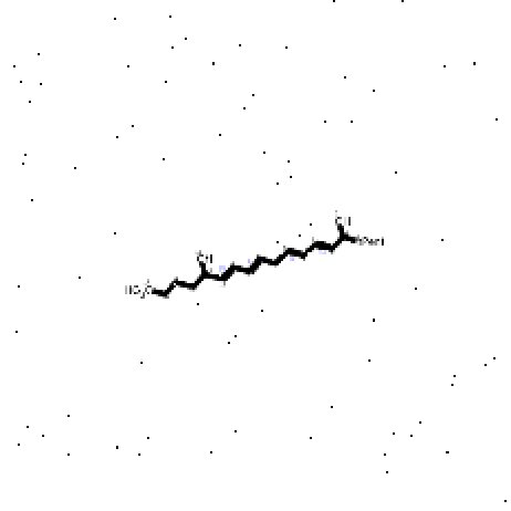 CCCCCC(O)/C=C/C=C/C/C=C/C=C/C(O)CCCC(=O)O